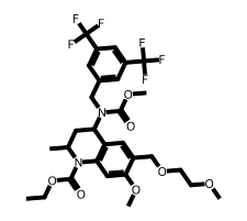 CCOC(=O)N1c2cc(OC)c(COCCOC)cc2C(N(Cc2cc(C(F)(F)F)cc(C(F)(F)F)c2)C(=O)OC)CC1C